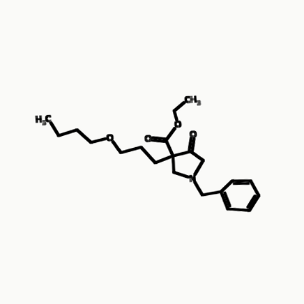 CCCCOCCCC1(C(=O)OCC)CN(Cc2ccccc2)CC1=O